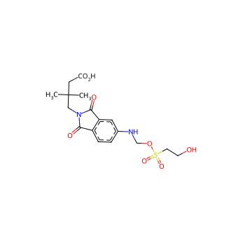 CC(C)(CC(=O)O)CN1C(=O)c2ccc(NCOS(=O)(=O)CCO)cc2C1=O